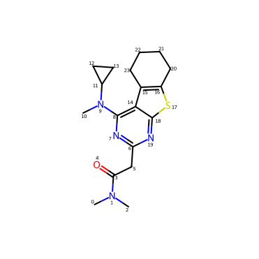 CN(C)C(=O)Cc1nc(N(C)C2CC2)c2c3c(sc2n1)CCCC3